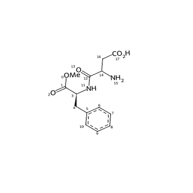 COC(=O)[C@H](Cc1ccccc1)NC(=O)C(N)CC(=O)O